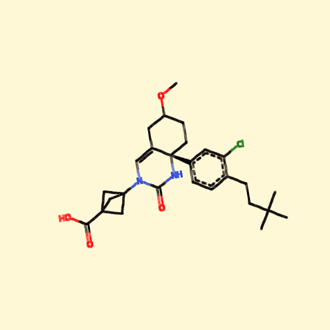 COC1CC[C@]2(c3ccc(CCC(C)(C)C)c(Cl)c3)NC(=O)N(C34CC(C(=O)O)(C3)C4)C=C2C1